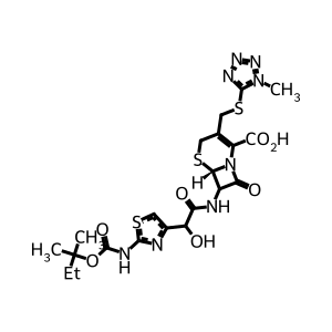 CCC(C)(C)OC(=O)Nc1nc(C(O)C(=O)NC2C(=O)N3C(C(=O)O)=C(CSc4nnnn4C)CS[C@@H]23)cs1